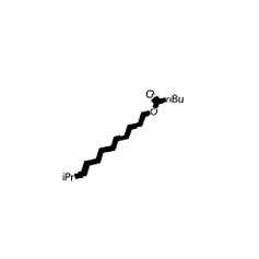 CCCCC(=O)OCCCCCCCCCCC(C)C